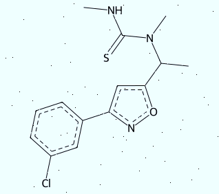 CNC(=S)N(C)C(C)c1cc(-c2cccc(Cl)c2)no1